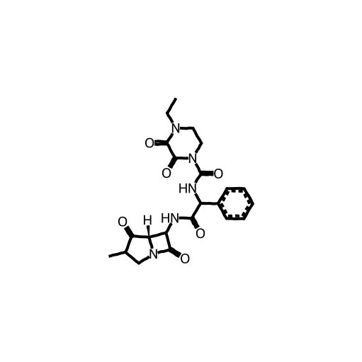 CCN1CCN(C(=O)NC(C(=O)NC2C(=O)N3CC(C)C(=O)[C@H]23)c2ccccc2)C(=O)C1=O